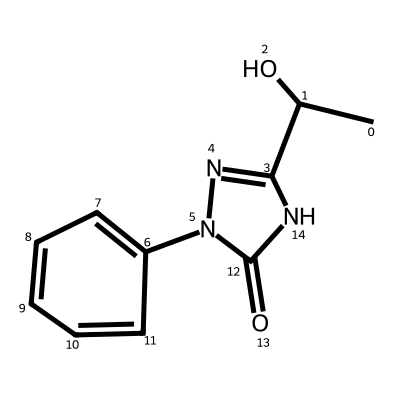 CC(O)c1nn(-c2ccccc2)c(=O)[nH]1